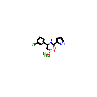 Cl.O.O=C(NC(CO)c1cccc(Cl)c1)c1ccc[nH]1